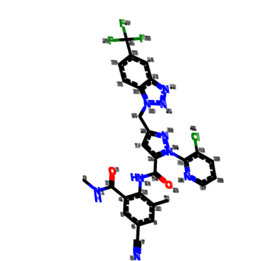 CNC(=O)c1cc(C#N)cc(C)c1NC(=O)c1cc(Cn2nnc3cc(C(F)(F)F)ccc32)nn1-c1ncccc1Cl